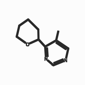 Cc1cn[c]nc1C1CCCCO1